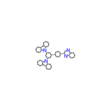 c1ccc2nc(-c3ccc(-c4cc(-n5c6ccccc6c6ccccc65)cc(-n5c6ccccc6c6ccccc65)c4)cc3)cnc2c1